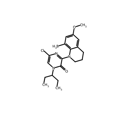 Bc1cc(OC)cc2c1N(c1nc(Cl)cn(C(CC)CC)c1=O)CCC2